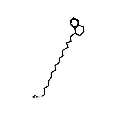 CCCCCCCCCCCCCCCCCCCCCCCCCCC1CCCc2ccccc21